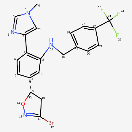 Cn1cnc(-c2ccc([C@@H]3CC(Br)=NO3)cc2NCc2ccc(C(F)(F)F)cc2)c1